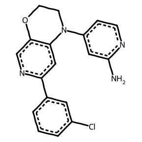 Nc1cc(N2CCOc3cnc(-c4cccc(Cl)c4)cc32)ccn1